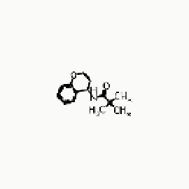 CC(C)(C)C(=O)N[C@@H]1CCOc2ccccc21